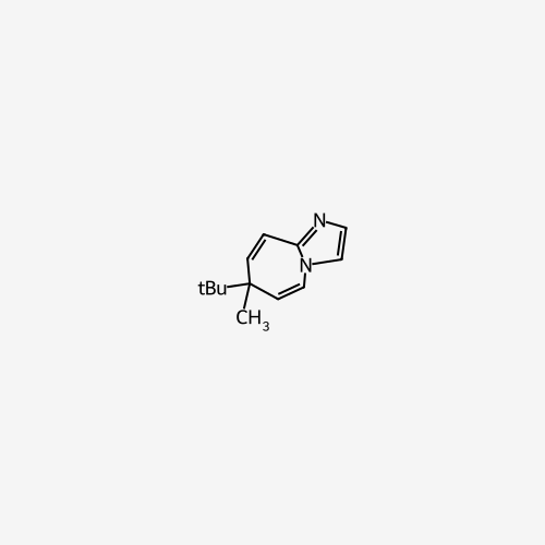 CC(C)(C)C1(C)C=Cc2nccn2C=C1